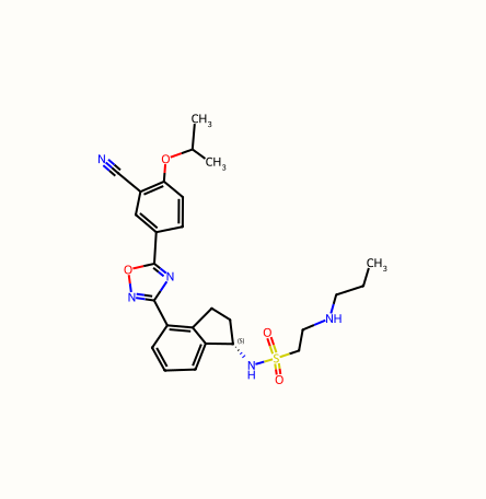 CCCNCCS(=O)(=O)N[C@H]1CCc2c(-c3noc(-c4ccc(OC(C)C)c(C#N)c4)n3)cccc21